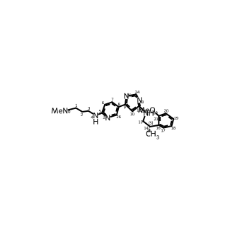 CNCCCNc1ccc(-c2cc(NC[C@@H](C)c3ccccc3OC)ncn2)cn1